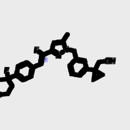 Cc1cc(/C(F)=C/c2ccc(C3(F)CCOCC3)cc2)nn1Cc1cccc(C2(CO)CC2)c1